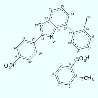 Cc1ccccc1S(=O)(=O)O.O=[N+]([O-])c1ccc(-c2nc3c(-c4ccccc4I)cccc3s2)cc1